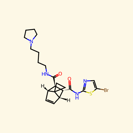 O=C(NCCCCN1CCCC1)[C@H]1[C@H](C(=O)Nc2ncc(Br)s2)[C@@H]2C=C[C@H]1C21CC1